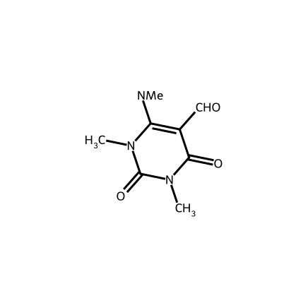 CNc1c(C=O)c(=O)n(C)c(=O)n1C